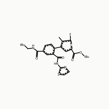 Cc1c(F)cc(C(=O)OC(C)(C)C)cc1-c1ccc(C(=O)NCC(C)(C)C)cc1C(=O)Nc1nccs1